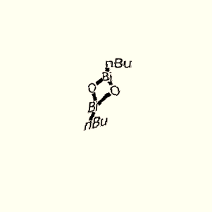 CCC[CH2][Bi]1[O][Bi]([CH2]CCC)[O]1